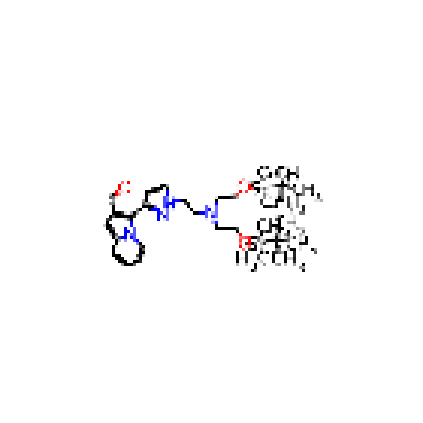 CC(C)(C)[Si](C)(C)OCCN(CCO[Si](C)(C)C(C)(C)C)CCn1ccc(-c2c(C=O)cc3ccccn23)n1